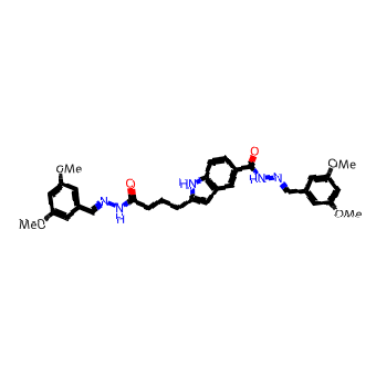 COc1cc(C=NNC(=O)CCCc2cc3cc(C(=O)NN=Cc4cc(OC)cc(OC)c4)ccc3[nH]2)cc(OC)c1